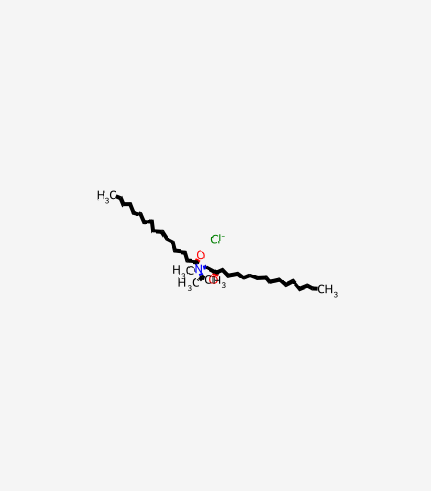 CCCCCCCCCCCCCCCC(=O)C[N+](C)(C(=O)CCCCCCCCCCCCCCC)C(C)C.[Cl-]